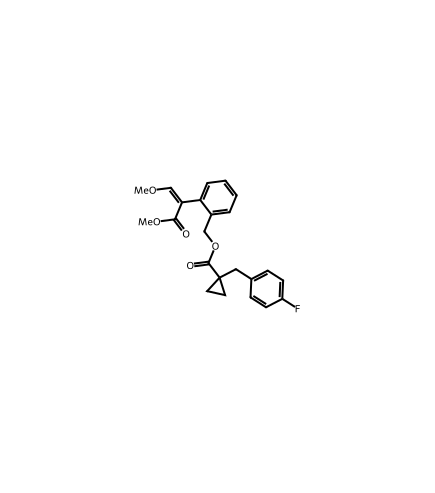 COC=C(C(=O)OC)c1ccccc1COC(=O)C1(Cc2ccc(F)cc2)CC1